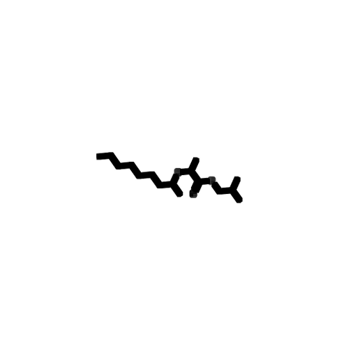 CCCCCCCC(C)OC(C)C(=O)OCC(C)C